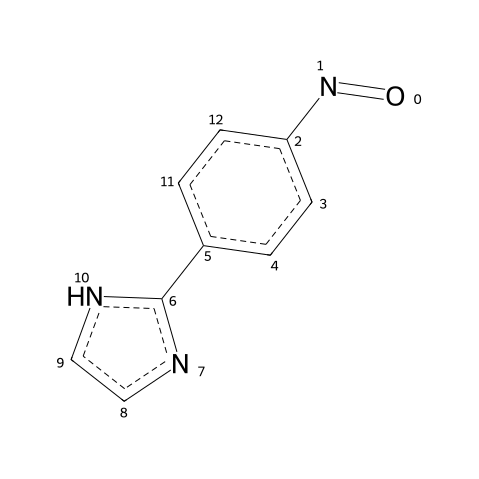 O=Nc1ccc(-c2ncc[nH]2)cc1